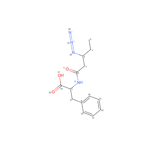 CCC(CC(=O)NC(Cc1ccccc1)C(=O)O)N=[N+]=[N-]